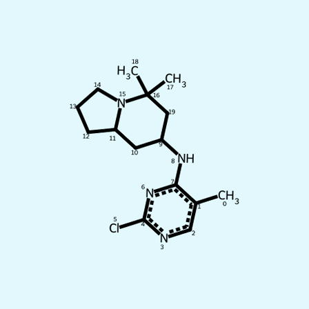 Cc1cnc(Cl)nc1NC1CC2CCCN2C(C)(C)C1